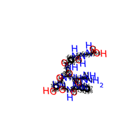 CN1C(=O)[C@@H](Cc2ccc(O)cc2)NC(=O)CNC(=O)[C@H](Cc2ccc3ccccc3c2)NC(=O)[C@H](CCCNC(=N)N)NC(=O)[C@H]1CCCNC(=O)c1ccc(NC(=O)CNCCNCC(=O)O)cc1